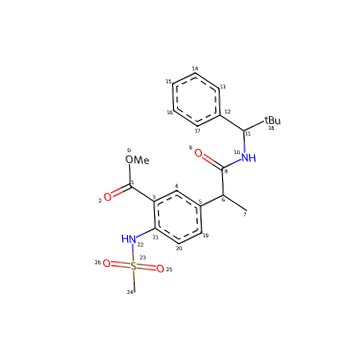 COC(=O)c1cc(C(C)C(=O)NC(c2ccccc2)C(C)(C)C)ccc1NS(C)(=O)=O